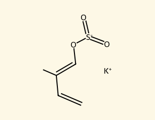 C=CC(C)=CO[S-](=O)=O.[K+]